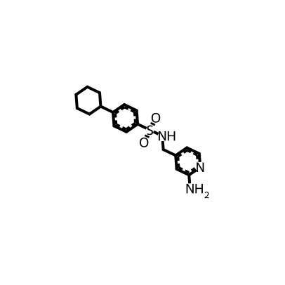 Nc1cc(CNS(=O)(=O)c2ccc(C3CCCCC3)cc2)ccn1